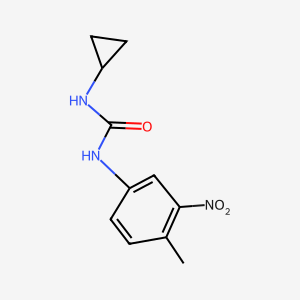 Cc1ccc(NC(=O)NC2CC2)cc1[N+](=O)[O-]